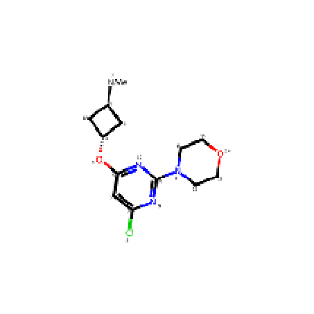 CN[C@H]1C[C@H](Oc2cc(Cl)nc(N3CCOCC3)n2)C1